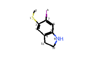 CSc1cc2c(cc1I)NCC2